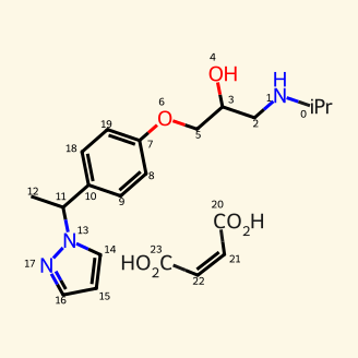 CC(C)NCC(O)COc1ccc(C(C)n2cccn2)cc1.O=C(O)/C=C\C(=O)O